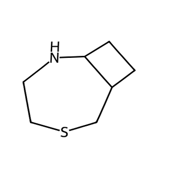 C1CSCC2CCC2N1